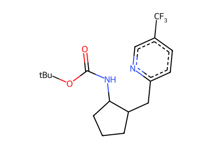 CC(C)(C)OC(=O)NC1CCCC1Cc1ccc(C(F)(F)F)cn1